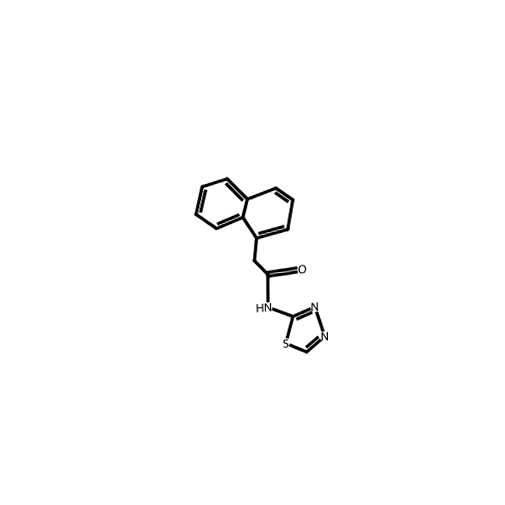 O=C(Cc1cccc2ccccc12)Nc1nncs1